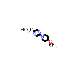 O=C(O)c1cnc(N2CCC(OC(F)(F)F)CC2)cn1